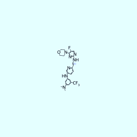 CN(C)c1cc(Nc2ccc(/C=C/Nc3ncc(F)c(N4CCOCC4)n3)nc2)cc(C(F)(F)F)c1